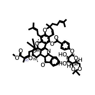 COC(=O)/C(C)=C\CC12OC(C)(C)[C@@H](C)C13Oc1c(CC=C(C)C)c4c(c(OC(=O)c5ccc(O[C@@H]6O[C@@H]7COC(C)(C)O[C@H]7[C@H](O)[C@H]6O)cc5)c1C1=C3C(C3C(=O)c5ccccc5C3=N1)[C@H](C)C2=O)C=CC(C)(CCC=C(C)C)O4